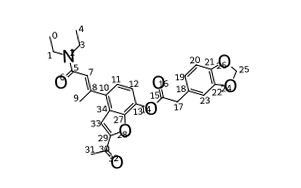 CCN(CC)C(=O)/C=C(\C)c1ccc(OC(=O)Cc2ccc3c(c2)OCO3)c2oc(C(C)=O)cc12